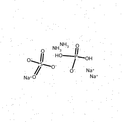 N.N.O=P([O-])(O)O.O=S(=O)([O-])[O-].[Na+].[Na+].[Na+]